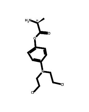 C[C@H](N)C(=O)Oc1ccc(N(CCCl)CCCl)cc1